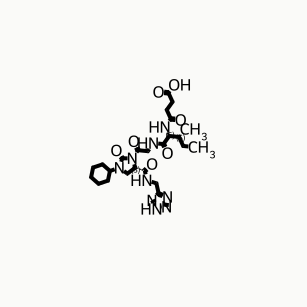 CC[C@H](C)[C@H](NC(=O)CCC(=O)O)C(=O)NCC(=O)N1C(=O)N(C2CCCCC2)C[C@H]1C(=O)NCc1nn[nH]n1